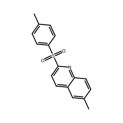 Cc1ccc(S(=O)(=O)c2ccc3cc(C)ccc3n2)cc1